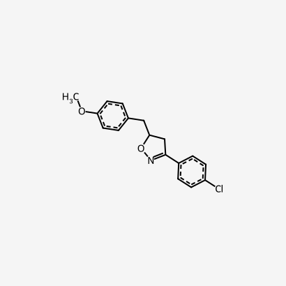 COc1ccc(CC2CC(c3ccc(Cl)cc3)=NO2)cc1